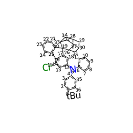 CC(C)(C)c1ccc(N(c2ccccc2)c2cc(Cl)c3c(c2)C2(c4ccccc4-3)C3CC4CC(C3)CC2C4)cc1